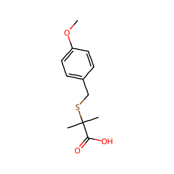 COc1ccc(CSC(C)(C)C(=O)O)cc1